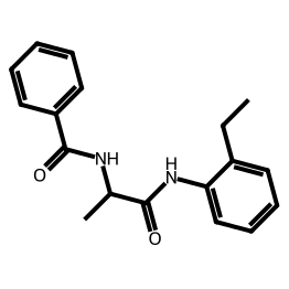 CCc1ccccc1NC(=O)C(C)NC(=O)c1ccccc1